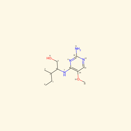 CCC(C)C(CO)Nc1nc(N)ncc1OC